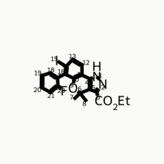 CCOC(=O)c1n[nH]c2c1C(C)(C)Oc1c-2ccc(I)c1-c1ccccc1F